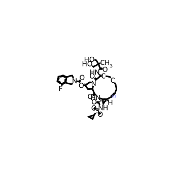 CC(CO)(CO)C(=O)N[C@H]1CCCCC/C=C\[C@@H]2C[C@@]2(C(=O)NS(=O)(=O)C2CC2)NC(=O)C2C[C@@H](OC(=O)N3Cc4cccc(F)c4C3)CN2C1=O